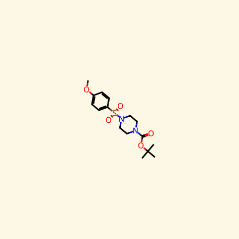 COc1ccc(S(=O)(=O)N2CCN(C(=O)OC(C)(C)C)CC2)cc1